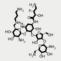 NCCCNC[C@H]1O[C@H](O[C@H]2[C@H](O[C@@H]3O[C@H](CO)[C@@H](O[C@H]4O[C@@H](CN)[C@@H](O)[C@H](O)[C@H]4N)[C@H]3O)[C@@H](O)[C@H](NC(=O)[C@@H](O)[C@H](F)CN)C[C@@H]2N)[C@H](N)[C@@H](O)[C@@H]1O